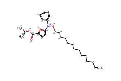 CCCCCCCCCCCCCCON(c1ccccc1)c1ccc(C(=O)OC(C)C)o1